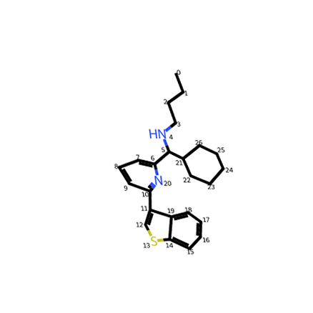 CCCCNC(c1cccc(-c2csc3ccccc23)n1)C1CCCCC1